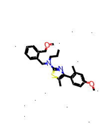 CCCN(Cc1ccccc1COC)c1nc(-c2ccc(OC)cc2C)c(C)s1